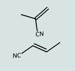 C=C(C)C#N.CC=CC#N